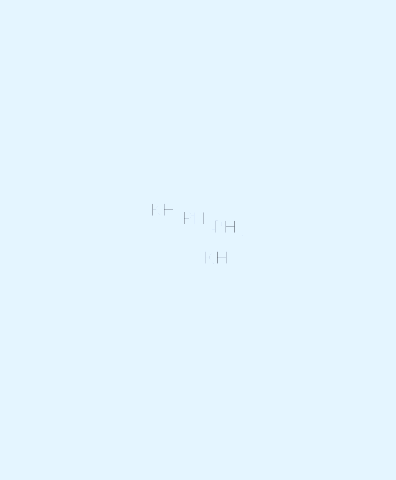 P.P.[KH].[KH]